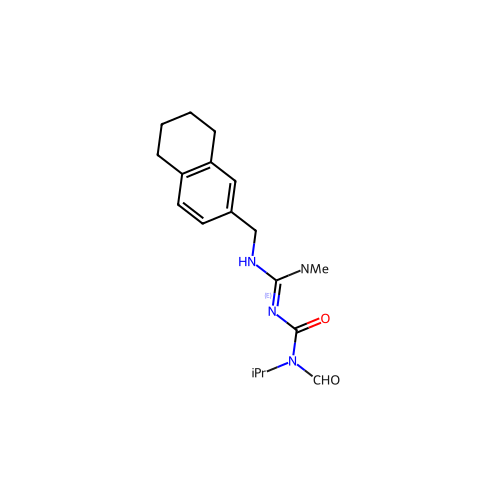 CN/C(=N\C(=O)N(C=O)C(C)C)NCc1ccc2c(c1)CCCC2